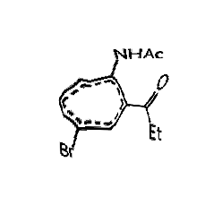 CCC(=O)c1cc(Br)ccc1NC(C)=O